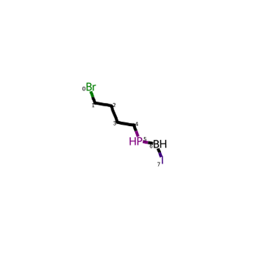 BrCCCCPBI